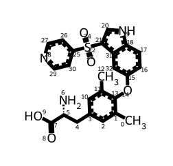 Cc1cc(C[C@@H](N)C(=O)O)cc(C)c1Oc1ccc2[nH]cc(S(=O)(=O)c3ccncc3)c2c1